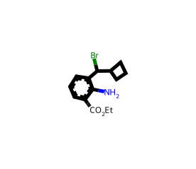 CCOC(=O)c1cccc(C(Br)C2CCC2)c1N